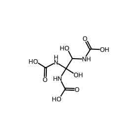 O=C(O)NC(O)C(O)(NC(=O)O)NC(=O)O